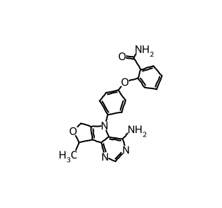 CC1OCc2c1c1ncnc(N)c1n2-c1ccc(Oc2ccccc2C(N)=O)cc1